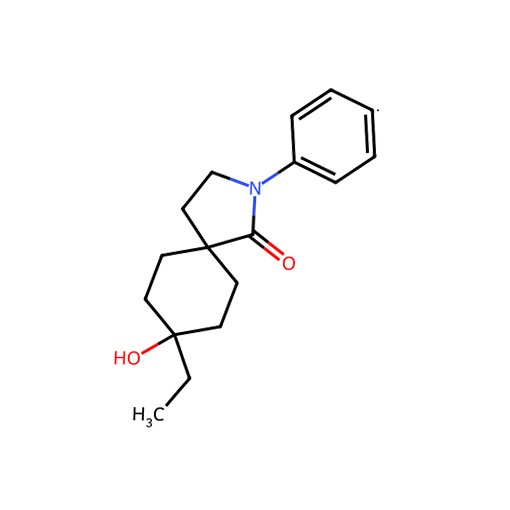 CCC1(O)CCC2(CCN(c3cc[c]cc3)C2=O)CC1